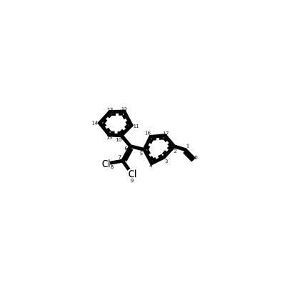 C=Cc1ccc(C(=C(Cl)Cl)c2ccccc2)cc1